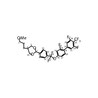 COCCCC1COC(c2ccc(C(F)(F)Oc3ccc(-c4cc(F)c(C(F)(F)F)c(F)c4)c(F)c3)cc2)OC1